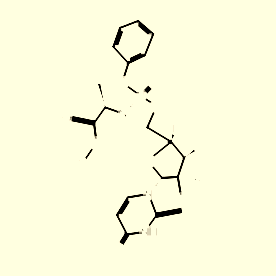 C=C1NC(=O)C=CN1[C@@H]1O[C@](F)(CO[P@@](=O)(N[C@H](C)C(=O)OC(C)C)Oc2ccccc2)[C@@H](O)[C@@]1(C)O